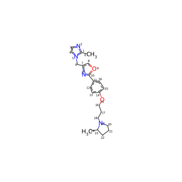 Cc1nccn1Cc1coc(-c2ccc(OCCCN3CCCC3C)cc2)n1